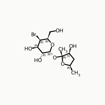 C[C@@H]1C[C@H](O)[C@@](C)(O[C@H]2O[C@H](CO)[C@H](Br)[C@H](O)[C@H]2O)O1